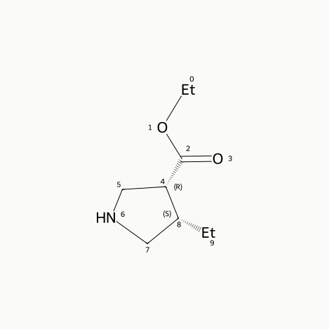 CCOC(=O)[C@H]1CNC[C@H]1CC